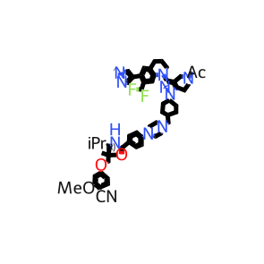 COc1cc(OCC(C)(C)[C@H](NC(=O)c2ccc(N3CCN(CC4CCC(n5nc(N6CCCc7cc(-c8cnn(C)c8)c(C(F)F)cc76)c6c5CCN(C(C)=O)C6)CC4)CC3)cc2)C(C)C)ccc1C#N